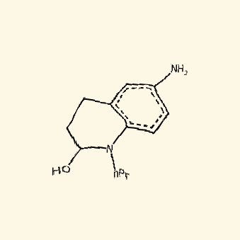 CCCN1c2ccc(N)cc2CCC1O